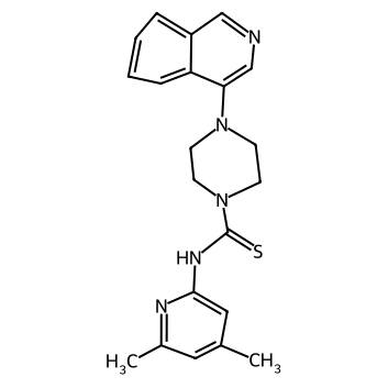 Cc1cc(C)nc(NC(=S)N2CCN(c3cncc4ccccc34)CC2)c1